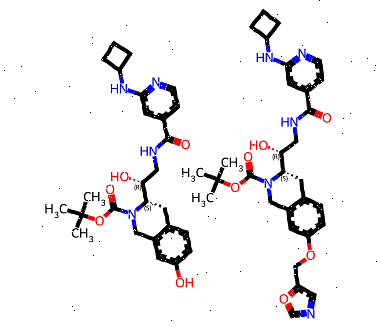 CC(C)(C)OC(=O)N1Cc2cc(O)ccc2C[C@H]1[C@H](O)CNC(=O)c1ccnc(NC2CCC2)c1.CC(C)(C)OC(=O)N1Cc2cc(OCc3cnco3)ccc2C[C@H]1[C@H](O)CNC(=O)c1ccnc(NC2CCC2)c1